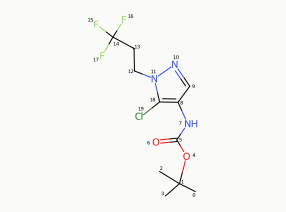 CC(C)(C)OC(=O)Nc1cnn(CCC(F)(F)F)c1Cl